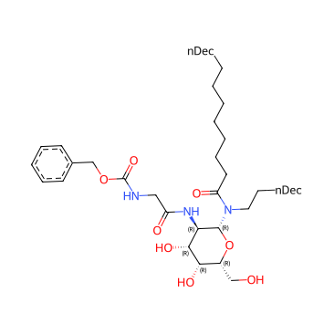 CCCCCCCCCCCCCCCCCC(=O)N(CCCCCCCCCCCC)[C@@H]1O[C@H](CO)[C@H](O)[C@H](O)[C@H]1NC(=O)CNC(=O)OCc1ccccc1